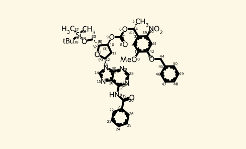 COc1cc([C@@H](C)OC(=O)O[C@H]2C[C@H](n3cnc4c(NC(=O)c5ccccc5)ncnc43)O[C@@H]2CO[Si](C)(C)C(C)(C)C)c([N+](=O)[O-])cc1OCc1ccccc1